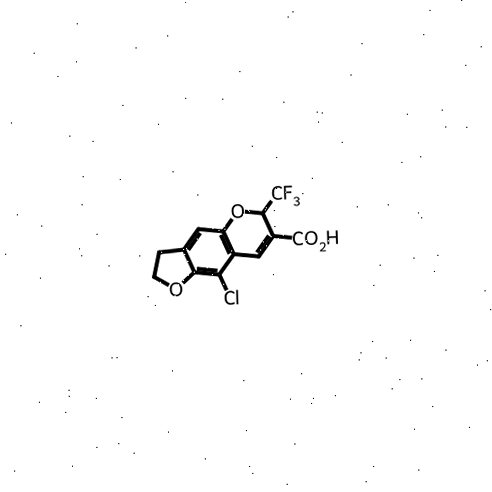 O=C(O)C1=Cc2c(cc3c(c2Cl)OCC3)OC1C(F)(F)F